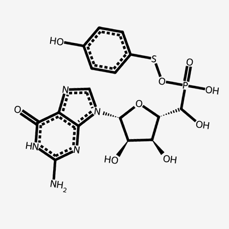 Nc1nc2c(ncn2[C@@H]2O[C@H](C(O)P(=O)(O)OSc3ccc(O)cc3)[C@@H](O)[C@H]2O)c(=O)[nH]1